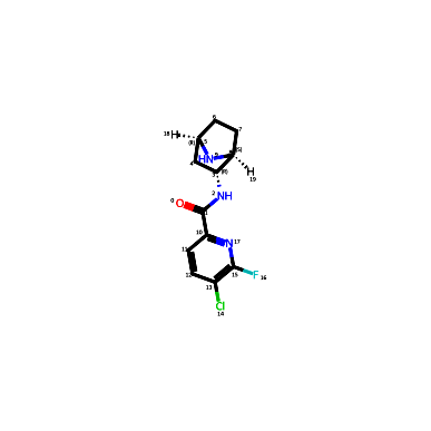 O=C(N[C@@H]1C[C@H]2CC[C@@H]1N2)c1ccc(Cl)c(F)n1